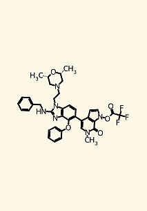 C[C@@H]1CN(CCn2c(NCc3ccccc3)nc3c(Oc4ccccc4)c(-c4cn(C)c(=O)c5c4ccn5OC(=O)C(F)(F)F)ccc32)C[C@H](C)O1